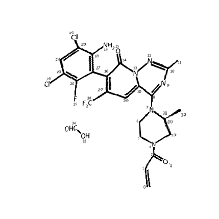 C=CC(=O)N1CCN(c2nc(C)nn3c(=O)c(-c4c(N)c(Cl)cc(Cl)c4F)c(C(F)(F)F)cc23)[C@@H](C)C1.O=CO